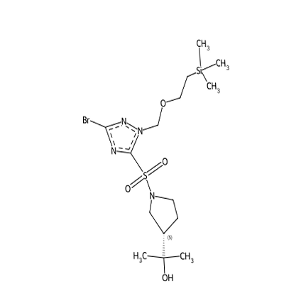 CC(C)(O)[C@H]1CCN(S(=O)(=O)c2nc(Br)nn2COCC[Si](C)(C)C)C1